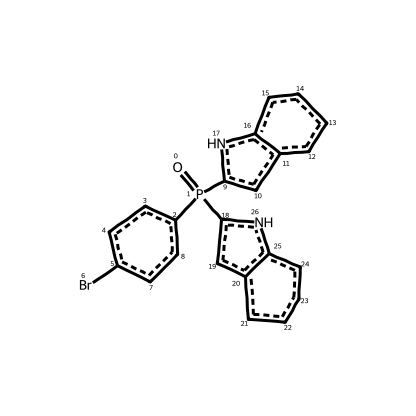 O=P(c1ccc(Br)cc1)(c1cc2ccccc2[nH]1)c1cc2ccccc2[nH]1